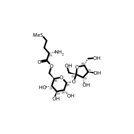 CSCC[C@H](N)C(=O)OC[C@H]1O[C@H](O[C@]2(CO)O[C@H](CO)[C@@H](O)[C@@H]2O)[C@H](O)[C@@H](O)[C@@H]1O